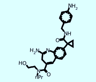 CCCN(CCO)C(=O)C1=Cc2ccc(C3(C(=O)NCc4ccc(N)cc4)CC3)cc2N=C(N)C1